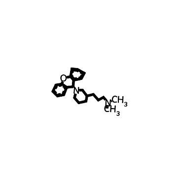 CN(C)CCCC1CCCN(C2c3ccccc3Oc3ccccc32)C1